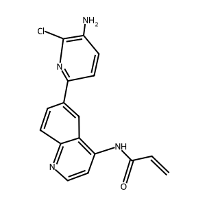 C=CC(=O)Nc1ccnc2ccc(-c3ccc(N)c(Cl)n3)cc12